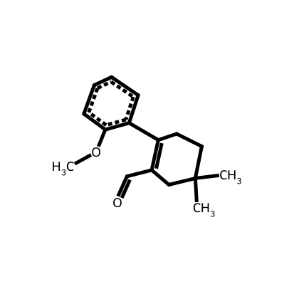 COc1ccccc1C1=C(C=O)CC(C)(C)CC1